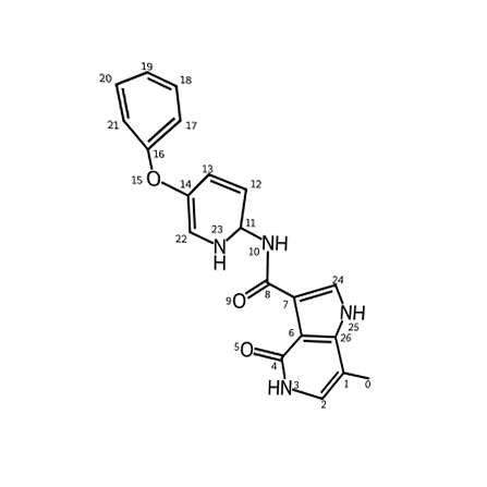 Cc1c[nH]c(=O)c2c(C(=O)NC3C=CC(Oc4ccccc4)=CN3)c[nH]c12